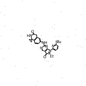 CCn1c(=O)c2cnc(Nc3ccc4c(c3)CC(=O)NC43CC3)nc2n1-c1cccc(C(C)(C)C)n1